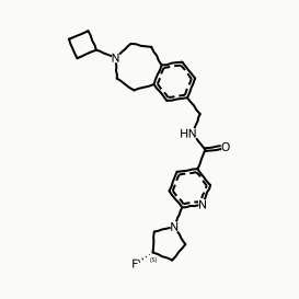 O=C(NCc1ccc2c(c1)CCN(C1CCC1)CC2)c1ccc(N2CC[C@H](F)C2)nc1